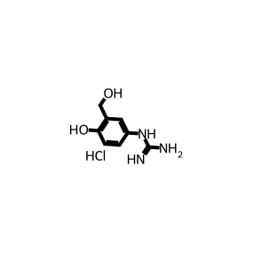 Cl.N=C(N)Nc1ccc(O)c(CO)c1